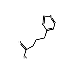 CCCC(=O)CCCc1ccncc1